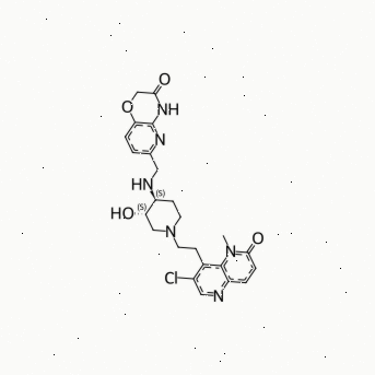 Cn1c(=O)ccc2ncc(Cl)c(CCN3CC[C@H](NCc4ccc5c(n4)NC(=O)CO5)[C@@H](O)C3)c21